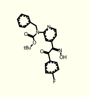 CC(C)(C)OC(=O)N(Cc1ccccc1)c1cc(/C(=N/O)C(=O)c2ccc(F)cc2)ccn1